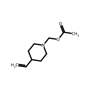 C=CC1CCN(COC(C)=O)CC1